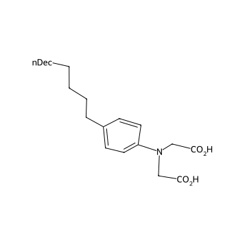 CCCCCCCCCCCCCCc1ccc(N(CC(=O)O)CC(=O)O)cc1